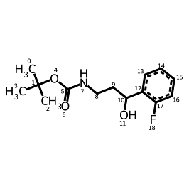 CC(C)(C)OC(=O)NCCC(O)c1ccccc1F